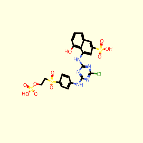 O=S(=O)(O)OCCS(=O)(=O)c1ccc(Nc2nc(Cl)nc(Nc3cc(S(=O)(=O)O)cc4cccc(O)c34)n2)cc1